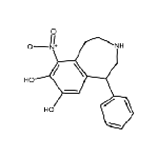 O=[N+]([O-])c1c(O)c(O)cc2c1CCNCC2c1ccccc1